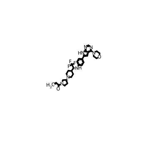 C=CC(=O)N1CC[C@H](N2CCC([C@@H](Nc3ccc(-c4cc5c(N6CCOCC6)ncnc5[nH]4)cc3)C(F)(F)F)CC2)C1